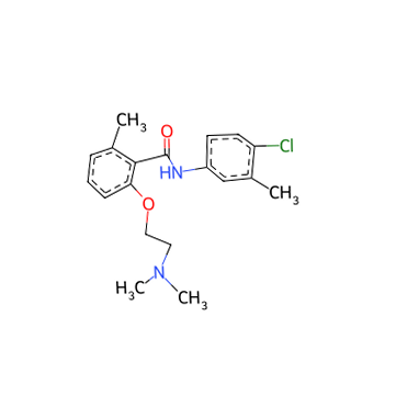 Cc1cc(NC(=O)c2c(C)cccc2OCCN(C)C)ccc1Cl